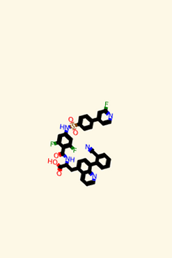 N#Cc1ccccc1-c1ccc(CC(NC(=O)c2c(F)cc(NS(=O)(=O)c3ccc(-c4ccnc(F)c4)cc3)cc2F)C(=O)O)c2cccnc12